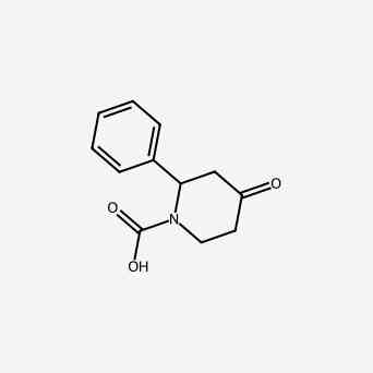 O=C1CCN(C(=O)O)C(c2ccccc2)C1